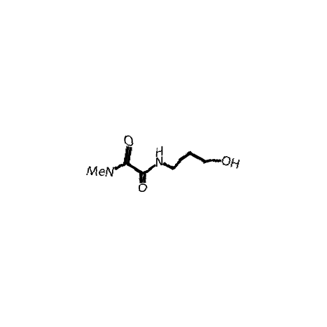 CNC(=O)C(=O)NCCCO